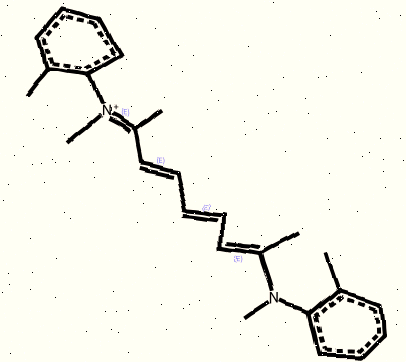 C\C(=C/C=C/C=C/C(C)=[N+](\C)c1ccccc1C)N(C)c1ccccc1C